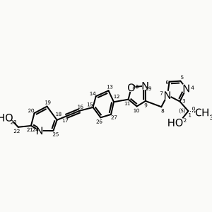 C[C@H](O)c1nccn1Cc1cc(-c2ccc(C#Cc3ccc(CO)nc3)cc2)on1